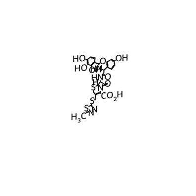 Cc1nnc(SCC2=C(C(=O)O)N3C(=O)C(NC(=O)C(NC(=O)c4ccc(O)c(O)c4O)c4ccc(O)cc4)[C@@H]3SC2)s1